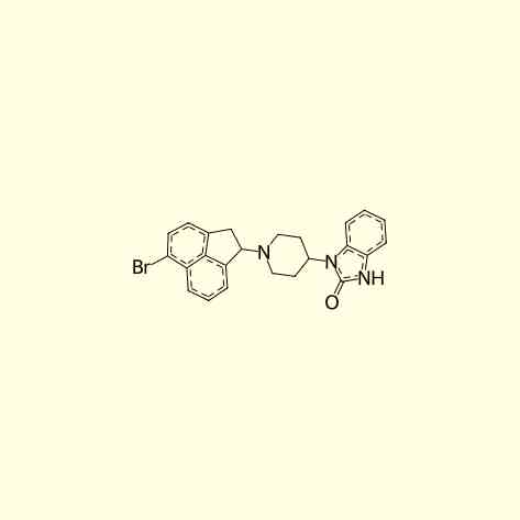 O=c1[nH]c2ccccc2n1C1CCN(C2Cc3ccc(Br)c4cccc2c34)CC1